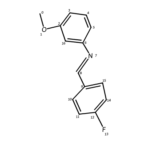 COc1cccc(N=Cc2ccc(F)cc2)c1